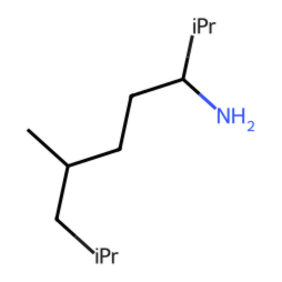 CC(C)CC(C)CCC(N)C(C)C